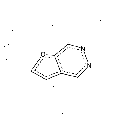 [c]1nncc2ccoc12